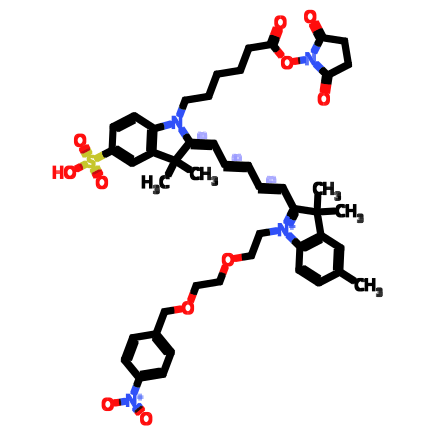 Cc1ccc2c(c1)C(C)(C)C(/C=C/C=C/C=C1/N(CCCCCC(=O)ON3C(=O)CCC3=O)c3ccc(S(=O)(=O)O)cc3C1(C)C)=[N+]2CCOCCOCc1ccc([N+](=O)[O-])cc1